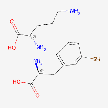 NCCC[C@H](N)C(=O)O.N[C@@H](Cc1cccc(S)c1)C(=O)O